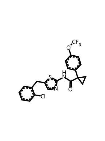 O=C(Nc1ncc(Cc2ccccc2Cl)s1)C1(c2ccc(OC(F)(F)F)cc2)CC1